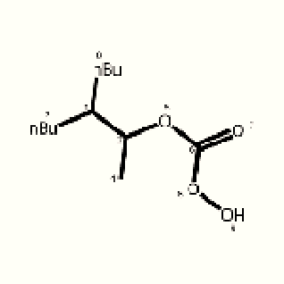 CCCCC(CCCC)C(C)OC(=O)OO